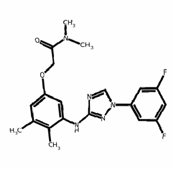 Cc1cc(OCC(=O)N(C)C)cc(Nc2ncn(-c3cc(F)cc(F)c3)n2)c1C